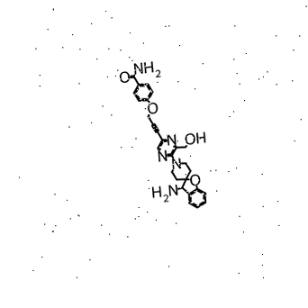 NC(=O)c1ccc(OCC#Cc2cnc(N3CCC4(CC3)Oc3ccccc3C4N)c(CO)n2)cc1